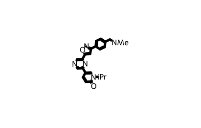 CNCc1ccc(-c2cc(-c3cncc(-c4ccc(=O)n(C(C)C)c4)n3)on2)cc1